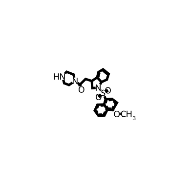 COc1ccc(S(=O)(=O)N2CC(CC(=O)N3CCNCC3)C3=CC=CCC32)c2ccccc12